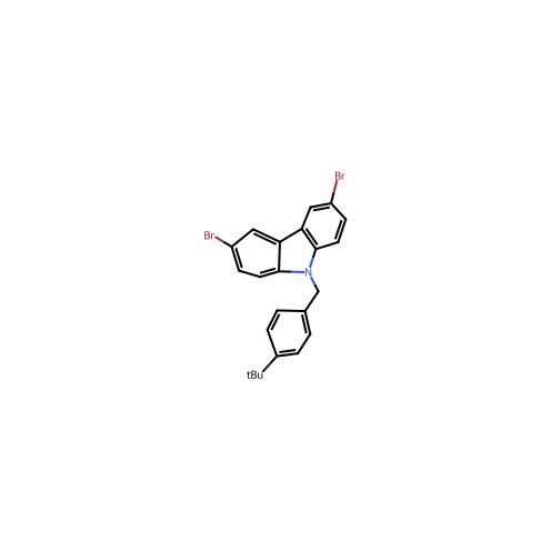 CC(C)(C)c1ccc(Cn2c3ccc(Br)cc3c3cc(Br)ccc32)cc1